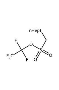 CCCCCCCCS(=O)(=O)OC(F)(F)C(F)(F)F